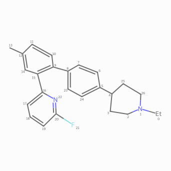 CCN1CCC(c2ccc(-c3ccc(C)cc3-c3cccc(F)n3)cc2)CC1